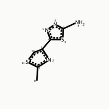 Cc1nc(-c2nnc(N)s2)cs1